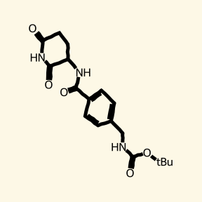 CC(C)(C)OC(=O)NCc1ccc(C(=O)NC2CCC(=O)NC2=O)cc1